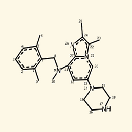 Cc1cccc(C)c1CN(C)c1cc(N2CCNCC2)cn2c(C)c(C)nc12